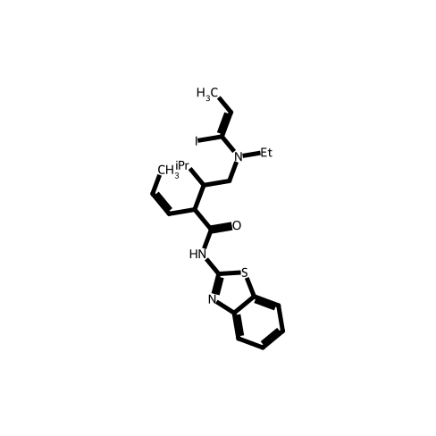 C/C=C\C(C(=O)Nc1nc2ccccc2s1)C(CN(CC)/C(I)=C/C)C(C)C